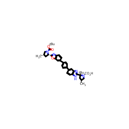 C[C@@H]1CN(C(=O)O)[C@](c2nc3cc(-c4ccc(-c5ccc6nc([C@@H]7C[C@H](C)CN7C(=O)OC(C)(C)C)oc6c5)cc4)ccc3[nH]2)(C(C)(C)C)C1